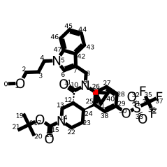 COCCCn1cc(CN(C(=O)[C@H]2CN(C(=O)OC(C)(C)C)CC[C@@H]2c2cccc(OS(=O)(=O)C(F)(F)F)c2)C2CC2)c2ccccc21